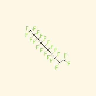 F[C](F)C(F)C(F)(F)C(F)(F)C(F)(F)C(F)(F)C(F)(F)C(F)(F)C(F)(F)C(F)(F)F